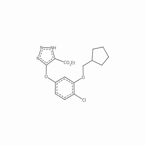 CCOC(=O)c1[nH]nnc1Oc1ccc(Cl)c(OCC2CCCC2)c1